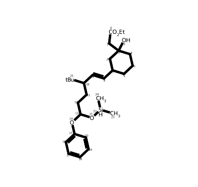 CCOC(=O)CC1(O)CCCC(C=CC(CCC(Oc2ccccc2)O[SiH](C)C)C(C)(C)C)C1